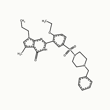 CCCn1cc(C)c2c(=O)[nH]c(-c3cc(S(=O)(=O)N4CCN(Cc5ccccc5)CC4)ccc3OCC)nc21